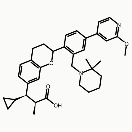 COc1cc(-c2ccc(C3CCc4ccc([C@H](C5CC5)[C@H](C)C(=O)O)cc4O3)c(CN3CCCCC3(C)C)c2)ccn1